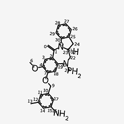 C=C1c2cc(OC)c(OCc3cc(C)cc(N)c3)cc2N(P)C[C@@H]2Cc3ccccc3N12